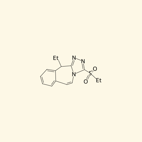 CCC1c2ccccc2C=Cn2c1nnc2S(=O)(=O)CC